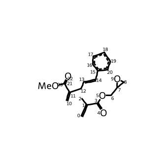 C=C(C)C(=O)OCC1CO1.C=C(CC=Cc1ccccc1)C(=O)OC